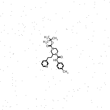 Cc1ccc(NC(=O)N2CCN(C(=O)OC(C)(C)C)CC2CCc2cccnc2)cc1